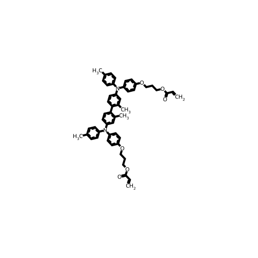 C=CC(=O)OCCCOc1ccc(N(c2ccc(C)cc2)c2ccc(-c3ccc(N(c4ccc(C)cc4)c4ccc(OCCCOC(=O)C=C)cc4)cc3C)c(C)c2)cc1